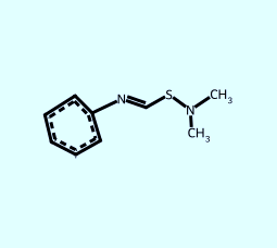 CN(C)SC=Nc1c[c]ccc1